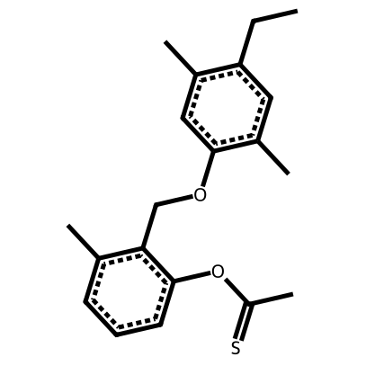 CCc1cc(C)c(OCc2c(C)cccc2OC(C)=S)cc1C